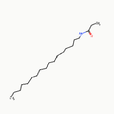 CCCCCCCCCCCCCCCCCNC(=O)CC